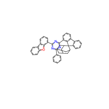 c1ccc(-c2nc(-c3cccc4c3C3(c5ccccc5-4)C4CC5CC(C4)CC3C5)nc(-c3cccc4c3oc3ccccc34)n2)cc1